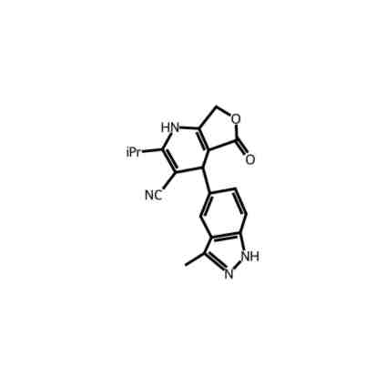 Cc1n[nH]c2ccc(C3C(C#N)=C(C(C)C)NC4=C3C(=O)OC4)cc12